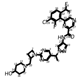 CC(c1cnc(N2CCC2CN2CCC(O)CC2)nc1)n1cc(NC(=O)c2cncc(-c3c(C(F)F)ccc(Cl)c3F)n2)cn1